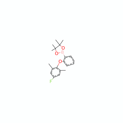 Cc1cc(F)cc(C)c1Oc1ccccc1B1OC(C)(C)C(C)(C)O1